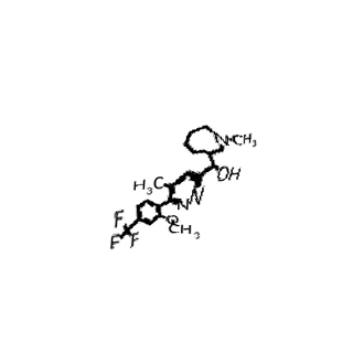 COc1cc(C(F)(F)F)ccc1-c1nnc(C(O)C2CCCCN(C)C2)cc1C